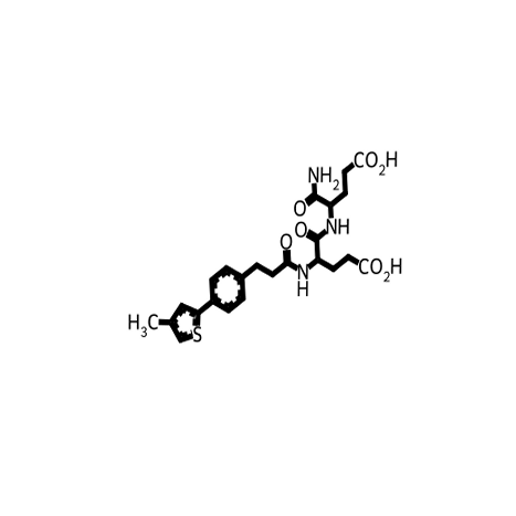 Cc1csc(-c2ccc(CCC(=O)NC(CCC(=O)O)C(=O)NC(CCC(=O)O)C(N)=O)cc2)c1